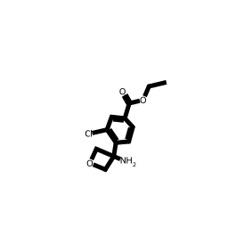 CCOC(=O)c1ccc(C2(N)COC2)c(Cl)c1